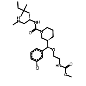 CCC(C)(C)C[C@@H](CNC)NC(=O)N1CCC[C@@H]([C@@H](OCCNC(=O)OC)c2cccc(Cl)c2)C1